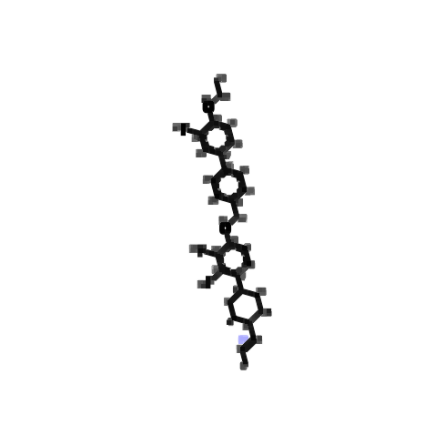 C/C=C/C1CCC(c2ccc(OCc3ccc(-c4ccc(OCC)c(F)c4)cc3)c(F)c2F)CC1